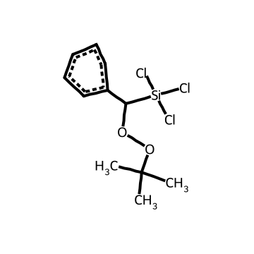 CC(C)(C)OOC(c1ccccc1)[Si](Cl)(Cl)Cl